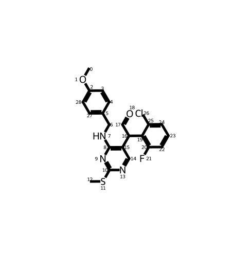 COc1ccc(CNc2nc(SC)ncc2C(C=O)c2c(F)cccc2Cl)cc1